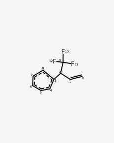 C=CC(c1ccccc1)C(F)(F)F